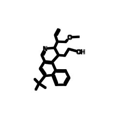 C=CC(COC)C1N=Cc2cc(C(C)(C)C)c3ccccc3c2C1CCO